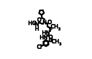 COc1ccc(Cl)cc1NC(=O)NC[C@@H](C)CC(=O)N(CCC1CCCC1)CC(=O)NO